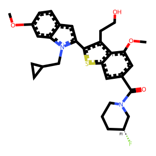 COc1ccc2cc(-c3sc4cc(C(=O)N5CCC[C@@H](F)C5)cc(OC)c4c3CCO)n(CC3CC3)c2c1